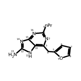 CCCc1nc(Cc2ccco2)c2[nH]c(N)nc2n1